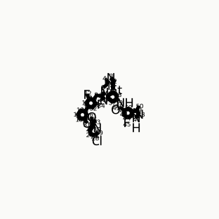 CCn1cncc1Cn1c(Cc2c(F)cc(-c3cccc4c3OC(C)(c3ccc(Cl)cn3)O4)cc2F)nc2cc(NC(=O)c3cc(F)c4[nH]nc(C)c4c3)ccc21